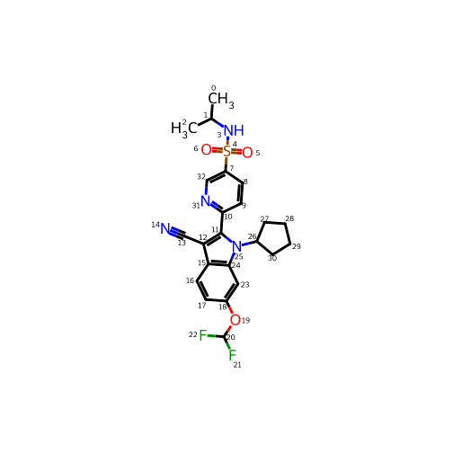 CC(C)NS(=O)(=O)c1ccc(-c2c(C#N)c3ccc(OC(F)F)cc3n2C2CCCC2)nc1